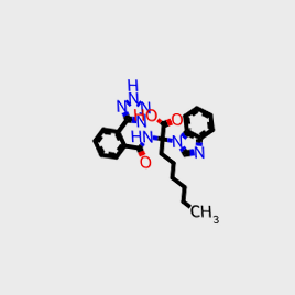 CCCCCCC(NC(=O)c1ccccc1-c1nn[nH]n1)(C(=O)O)n1cnc2ccccc21